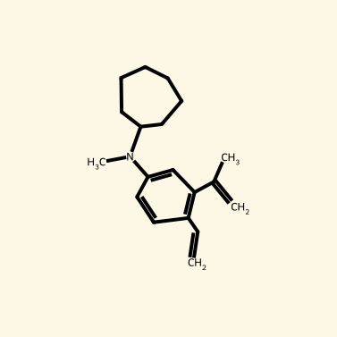 C=Cc1ccc(N(C)C2CCCCCC2)cc1C(=C)C